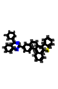 c1ccc(-c2nc(-c3ccc4c(ccc5c4c4ccccc4c4sc6ccccc6c54)c3)nc3ccccc23)cc1